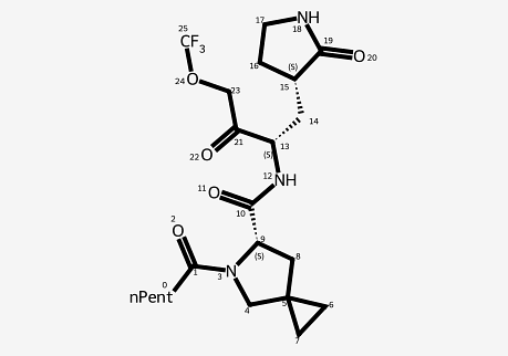 CCCCCC(=O)N1CC2(CC2)C[C@H]1C(=O)N[C@@H](C[C@@H]1CCNC1=O)C(=O)COC(F)(F)F